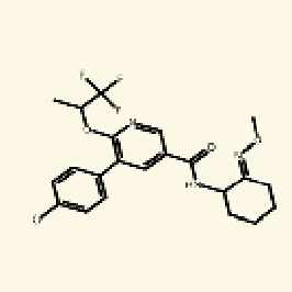 CON=C1CCCCC1NC(=O)c1cnc(OC(C)C(F)(F)F)c(-c2ccc(Cl)cc2)c1